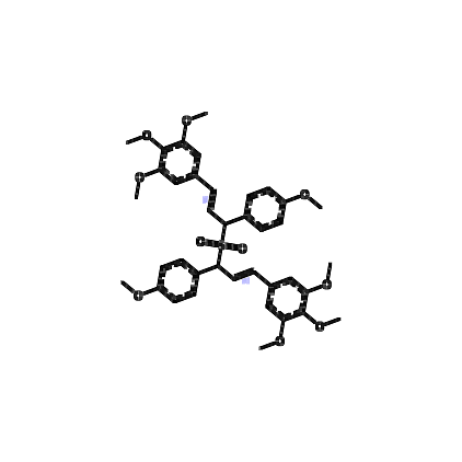 COc1ccc(C(/C=C/c2cc(OC)c(OC)c(OC)c2)S(=O)(=O)C(/C=C/c2cc(OC)c(OC)c(OC)c2)c2ccc(OC)cc2)cc1